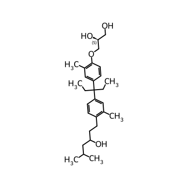 CCC(CC)(c1ccc(CCC(O)CC(C)C)c(C)c1)c1ccc(OC[C@@H](O)CO)c(C)c1